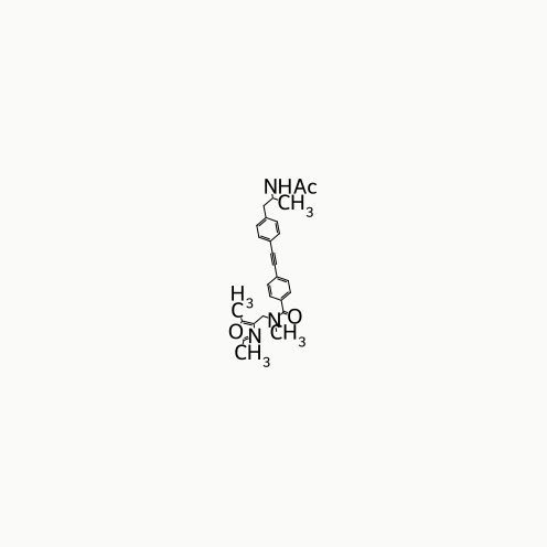 CC(=O)NC(C)Cc1ccc(C#Cc2ccc(C(=O)N(C)Cc3nc(C)oc3C)cc2)cc1